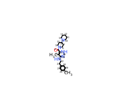 CC1=C(C(=O)N2CCC(N3CCCCC3)CC2)NCN=C1NCCc1ccc(C)cc1